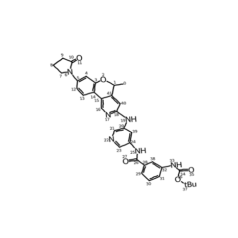 CC1Oc2cc(N3CCCC3=O)ccc2-c2cnc(Nc3cncc(NC(=O)c4cccc(NC(=O)OC(C)(C)C)c4)c3)cc21